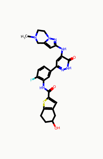 CN1CCn2nc(Nc3cc(-c4ccc(F)c(NC(=O)c5cc6c(s5)CCC(O)C6)c4)n[nH]c3=O)cc2C1